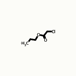 [CH2]CCOC(=O)CCl